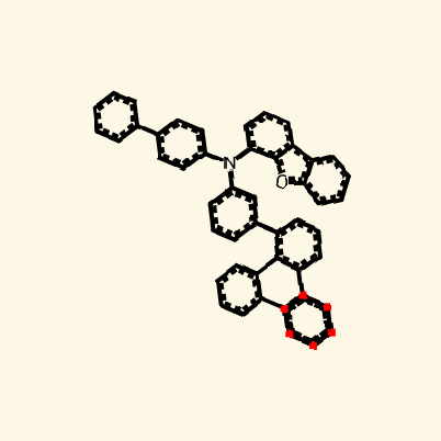 c1ccc(-c2ccc(N(c3cccc(-c4cccc(-c5ccccc5)c4-c4ccccc4-c4ccccc4)c3)c3cccc4c3oc3ccccc34)cc2)cc1